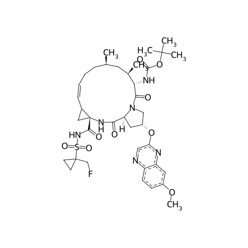 COc1ccc2ncc(O[C@@H]3C[C@H]4C(=O)N[C@]5(C(=O)NS(=O)(=O)C6(CF)CC6)CC5/C=C\CC[C@@H](C)C[C@@H](C)[C@H](NC(=O)OC(C)(C)C)C(=O)N4C3)nc2c1